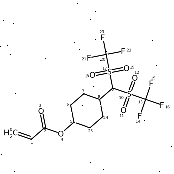 C=CC(=O)OC1CCC(C(S(=O)(=O)C(F)(F)F)S(=O)(=O)C(F)(F)F)CC1